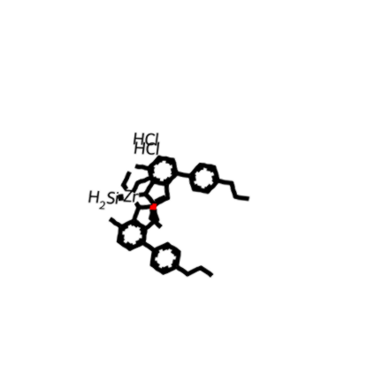 CCCc1ccc(-c2ccc(C)c3c2C=C(C)[CH]3[Zr](=[SiH2])([CH2]C)([CH2]C)[CH]2C(CC)=Cc3c(-c4ccc(CCC)cc4)ccc(C)c32)cc1.Cl.Cl